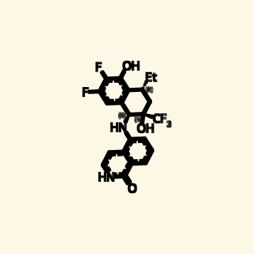 CC[C@@H]1C[C@@](O)(C(F)(F)F)[C@@H](Nc2cccc3c(=O)[nH]ccc23)c2cc(F)c(F)c(O)c21